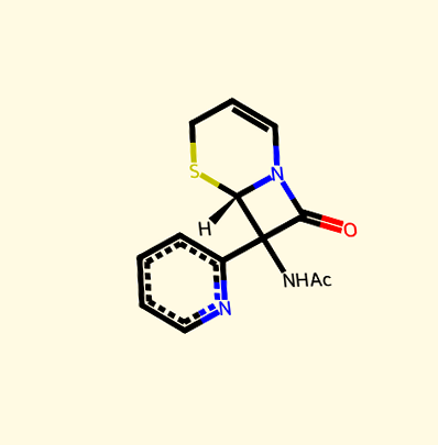 CC(=O)NC1(c2ccccn2)C(=O)N2C=CCS[C@H]21